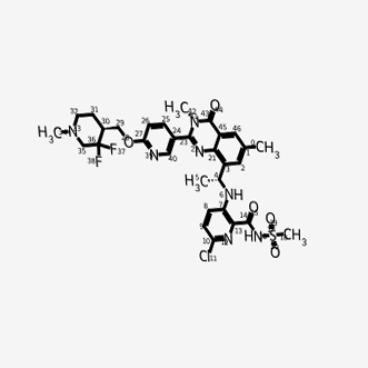 Cc1cc([C@@H](C)Nc2ccc(Cl)nc2C(=O)NS(C)(=O)=O)c2nc(-c3ccc(OC[C@@H]4CCN(C)CC4(F)F)nc3)n(C)c(=O)c2c1